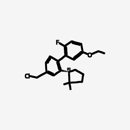 CCOc1ccc(F)c(-c2ccc(CCl)cc2[C@@H]2CCCC2(C)C)c1